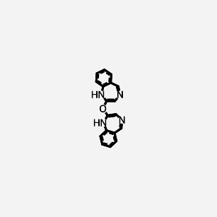 C1=NC=C(OC2=CN=Cc3ccccc3N2)Nc2ccccc21